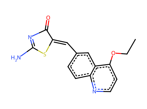 CCOc1ccnc2ccc(/C=C3\SC(N)=NC3=O)cc12